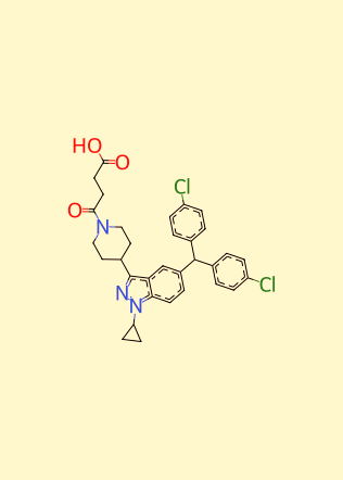 O=C(O)CCC(=O)N1CCC(c2nn(C3CC3)c3ccc(C(c4ccc(Cl)cc4)c4ccc(Cl)cc4)cc23)CC1